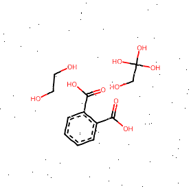 O=C(O)c1ccccc1C(=O)O.OCC(O)(O)O.OCCO